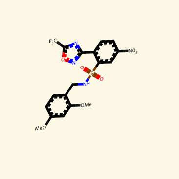 COc1ccc(CNS(=O)(=O)c2cc([N+](=O)[O-])ccc2-c2noc(C(F)(F)F)n2)c(OC)c1